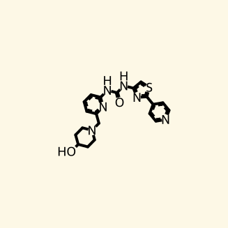 O=C(Nc1cccc(CN2CCC(O)CC2)n1)Nc1csc(-c2ccncc2)n1